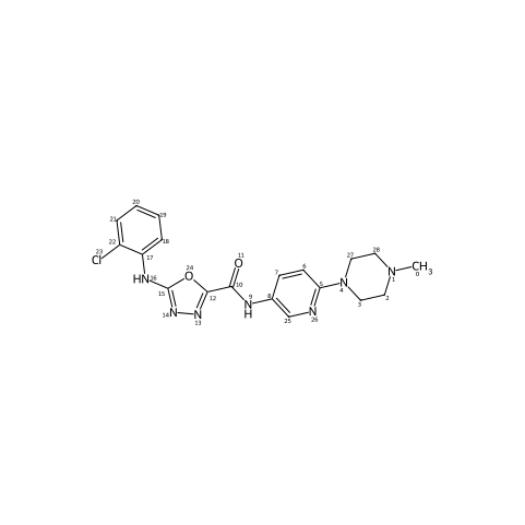 CN1CCN(c2ccc(NC(=O)c3nnc(Nc4ccccc4Cl)o3)cn2)CC1